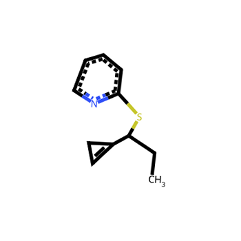 CCC(Sc1ccccn1)C1=CC1